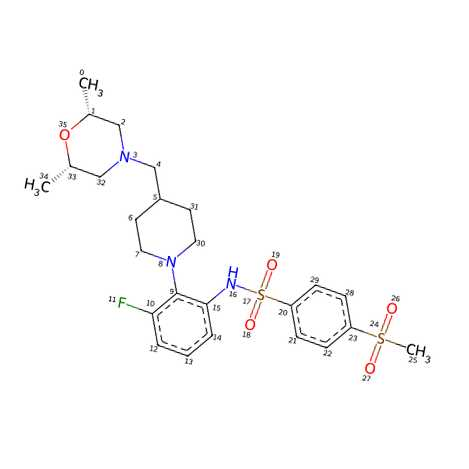 C[C@@H]1CN(CC2CCN(c3c(F)cccc3NS(=O)(=O)c3ccc(S(C)(=O)=O)cc3)CC2)C[C@H](C)O1